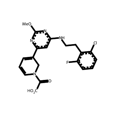 COc1nc(NCCc2c(F)cccc2Cl)cc(C2=CC=CN(C(=O)C(=O)O)C2)n1